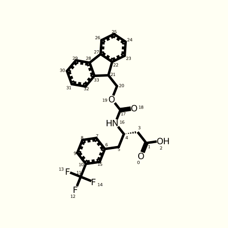 O=C(O)C[C@H](Cc1cccc(C(F)(F)F)c1)NC(=O)OCC1c2ccccc2-c2ccccc21